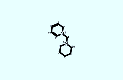 C1=CCN(CN2CCCCC2)C=C1